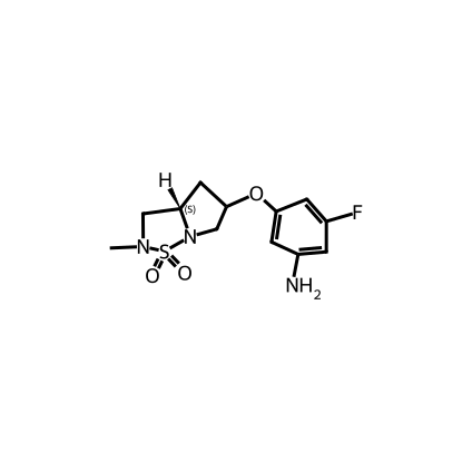 CN1C[C@@H]2CC(Oc3cc(N)cc(F)c3)CN2S1(=O)=O